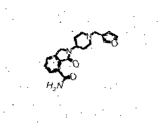 NC(=O)c1cccc2c1C(=O)N(C1CCN(Cc3ccoc3)CC1)C2